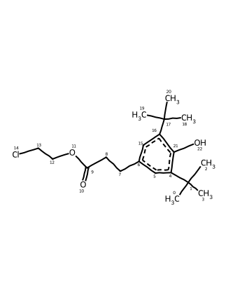 CC(C)(C)c1cc(CCC(=O)OCCCl)cc(C(C)(C)C)c1O